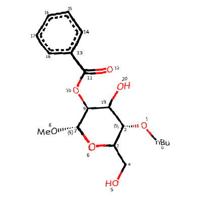 CCCCO[C@@H]1C(CO)O[C@H](OC)C(OC(=O)c2ccccc2)C1O